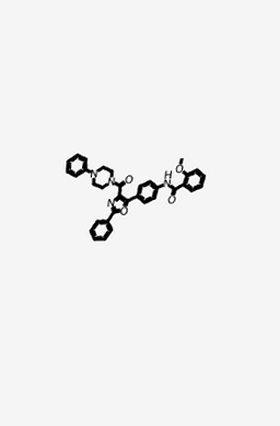 COc1ccccc1C(=O)Nc1ccc(-c2oc(-c3ccccc3)nc2C(=O)N2CCN(c3ccccc3)CC2)cc1